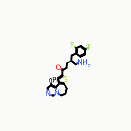 CCCC1=C2c3cc(C(=O)CC[C@H](CN)Cc4ccc(F)cc4F)sc3CCCN2CN=C1